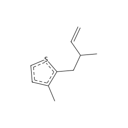 C=CC(C)Cc1sccc1C